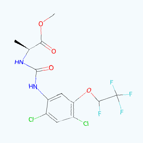 COC(=O)[C@H](C)NC(=O)Nc1cc(OC(F)C(F)(F)F)c(Cl)cc1Cl